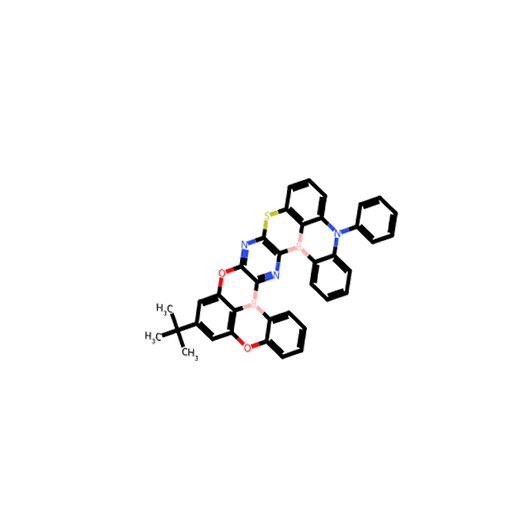 CC(C)(C)c1cc2c3c(c1)Oc1nc4c(nc1B3c1ccccc1O2)B1c2ccccc2N(c2ccccc2)c2cccc(c21)S4